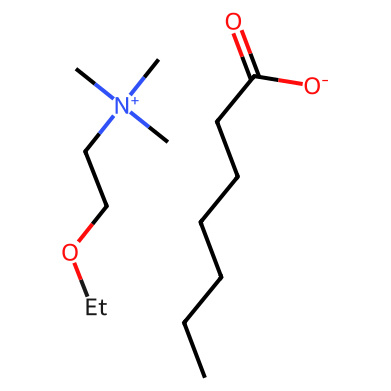 CCCCCCC(=O)[O-].CCOCC[N+](C)(C)C